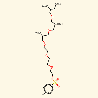 COCC(COCC(COCC(COCCOCCOCCOS(=O)(=O)c1ccc(C)cc1)OC)OC)OC